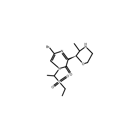 CCS(=O)(=O)C(C)n1cc(Br)nc([C@@H]2OCCNC2C)c1=O